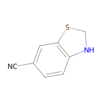 N#Cc1ccc2c(c1)SCN2